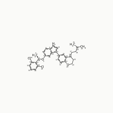 C[C@@H](Oc1ccc2[nH]nc(-c3cnc4c(c3)N(CCN(C)C)CCO4)c2c1)c1c(Cl)cncc1Cl